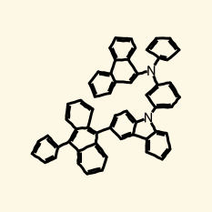 c1ccc(-c2c3ccccc3c(-c3ccc4c(c3)c3ccccc3n4-c3cccc(N(c4ccccc4)c4cc5ccccc5c5ccccc45)c3)c3ccccc23)cc1